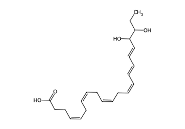 CCC(O)C(O)/C=C/C=C/C=C\C/C=C\C/C=C\C/C=C\CCC(=O)O